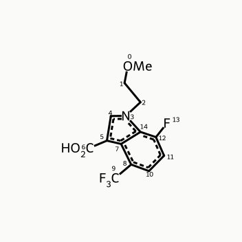 COCCn1cc(C(=O)O)c2c(C(F)(F)F)ccc(F)c21